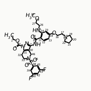 CCOC(=O)n1nc(NC(=O)c2ccc(OCCN3CCCC3)cc2NCCOC)c2c1CCN(S(=O)(=O)c1cc(F)cc(F)c1)C2